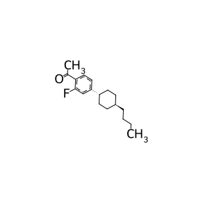 CCCC[C@H]1CC[C@H](c2ccc(C(C)=O)c(F)c2)CC1